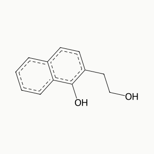 OCCc1ccc2ccccc2c1O